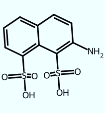 Nc1ccc2cccc(S(=O)(=O)O)c2c1S(=O)(=O)O